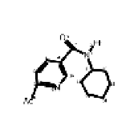 CCN(C(=O)c1ccc(C(C)=O)nc1)C1CCCCC1